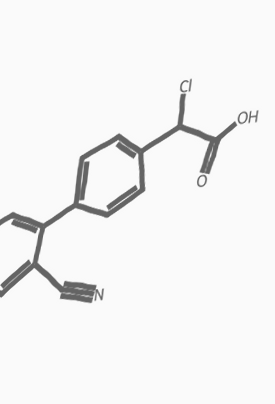 N#Cc1ccccc1-c1ccc(C(Cl)C(=O)O)cc1